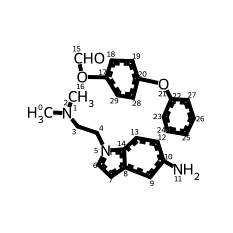 CN(C)CCn1ccc2cc(N)ccc21.O=COc1ccc(Oc2ccccc2)cc1